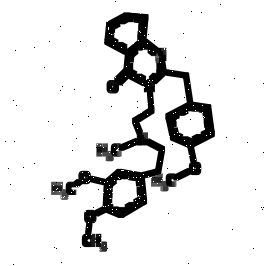 COc1ccc(Cc2nc3ccccc3c(=O)n2CCN(C)CCc2ccc(OC)c(OC)c2)cc1